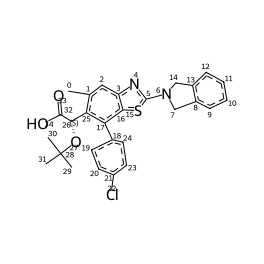 Cc1cc2nc(N3Cc4ccccc4C3)sc2c(-c2ccc(Cl)cc2)c1[C@H](OC(C)(C)C)C(=O)O